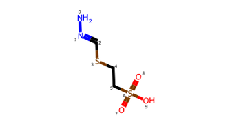 NN=CSCCS(=O)(=O)O